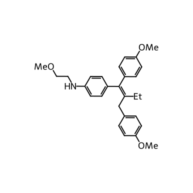 CC/C(Cc1ccc(OC)cc1)=C(/c1ccc(NCCOC)cc1)c1ccc(OC)cc1